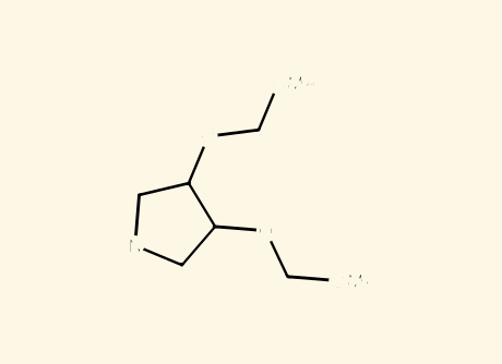 COCOC1C[N]CC1OCOC